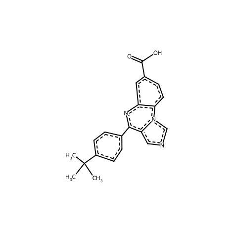 CC(C)(C)c1ccc(-c2nc3cc(C(=O)O)ccc3n3cncc23)cc1